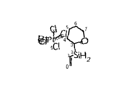 C=C[SiH2]C1CCCCO1.[Cl][Pt]([Cl])([Cl])[Cl].[Pt]